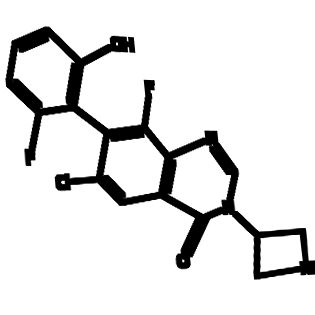 O=c1c2cc(Cl)c(-c3c(O)cccc3F)c(F)c2ncn1C1CNC1